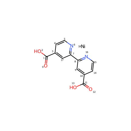 O=C(O)c1ccnc(-c2cc(C(=O)O)ccn2)c1.[Ni]